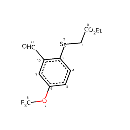 CCOC(=O)C[Se]c1ccc(OC(F)(F)F)cc1C=O